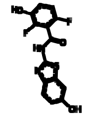 O=C(Nc1nc2ccc(O)cc2s1)c1c(F)ccc(O)c1F